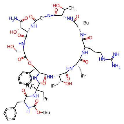 CC[C@H](C)[C@@H]1NC(=O)[C@@H](CCCNC(=N)N)NC(=O)[C@H](CC(C)C)NC(=O)[C@H]([C@H](O)C(C)C)NC(=O)[C@@H](NC(=O)[C@](C)(CC(C)C)NC(=O)[C@@H](Cc2ccccc2)NC(=O)OC(C)(C)C)[C@@H](c2ccccc2)OC(=O)[C@H](CO)NC(=O)[C@H]([C@H](O)C(N)=O)NC(=O)CNC(=O)[C@H]([C@H](C)O)NC1=O